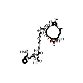 CNN(C)Cc1cc2ccccc2n1CCC(=O)N[C@@H](CCC(=O)O)C(=O)NCCOCCOCCC(=O)N(C)[C@@H](C)C(=O)O[C@H]1CC(=O)N(C)c2cc(cc(OC)c2Cl)C/C(C)=C/C=C/[C@@H](O)[C@@]2(O)C[C@H](OC(=O)N2)[C@@H](C)C2O[C@]21C